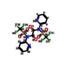 O=C(C(=O)N(c1ccccn1)S(=O)(=O)C(F)(F)F)N(c1ccccn1)S(=O)(=O)C(F)(F)F